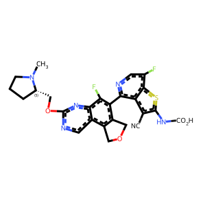 CN1CCC[C@H]1COc1ncc2c3c(c(-c4ncc(F)c5sc(NC(=O)O)c(C#N)c45)c(F)c2n1)COC3